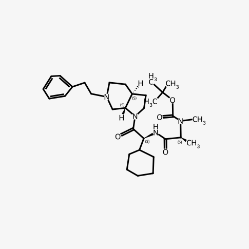 C[C@@H](C(=O)N[C@H](C(=O)N1CC[C@@H]2CCN(CCc3ccccc3)C[C@H]21)C1CCCCC1)N(C)C(=O)OC(C)(C)C